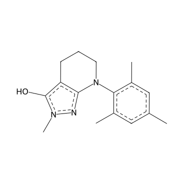 Cc1cc(C)c(N2CCCc3c2nn(C)c3O)c(C)c1